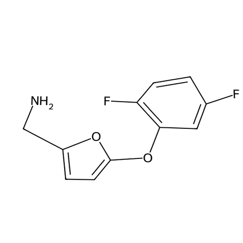 NCc1ccc(Oc2cc(F)ccc2F)o1